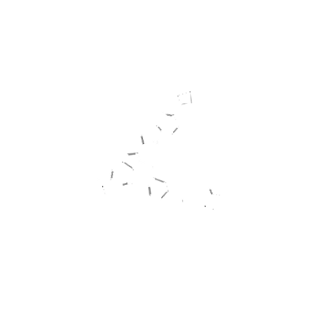 COc1cccc(Cn2c(C(=O)Nc3ccc(N4CCC4)nc3)cc3cc(C(F)(F)F)cnc32)c1.O=C(O)C(F)(F)F